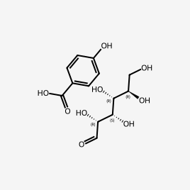 O=C(O)c1ccc(O)cc1.O=C[C@H](O)[C@@H](O)[C@H](O)[C@H](O)CO